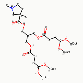 CCCCCCCCOC(CCC(=O)OCC(COC(=O)CCC(OCCCCCCCC)OCCCCCCCC)COC(=O)C1(C)CCN(C)C1)OCCCCCCCC